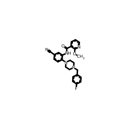 COc1ncccc1C(=O)Nc1cc(C#N)ccc1N1CCN(Cc2ccc(F)cc2)CC1